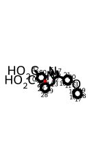 O=C(O)c1ccc(-n2ncc(-c3ccc(Oc4ccccc4)cc3)c2Cc2ccccc2)cc1C(=O)O